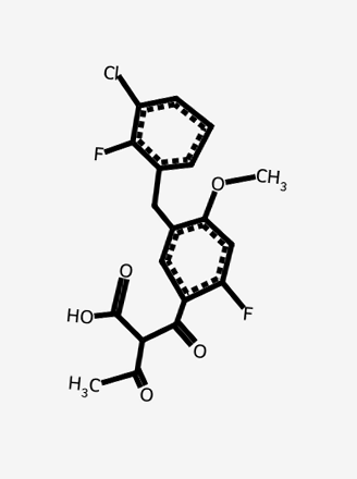 COc1cc(F)c(C(=O)C(C(C)=O)C(=O)O)cc1Cc1cccc(Cl)c1F